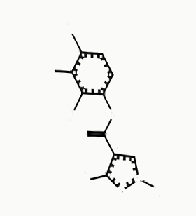 CCOC(=O)c1c(Cl)ccc(NC(=O)c2cn(C)nc2C)c1Cl